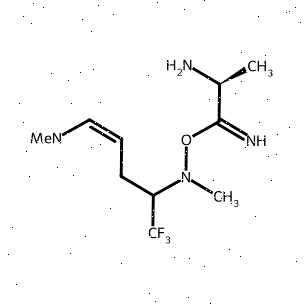 CN/C=C\CC(N(C)OC(=N)[C@H](C)N)C(F)(F)F